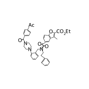 CCOC(=O)c1oc2ccc(S(=O)(=O)N(CCc3ccccc3)Cc3ccccc3N3CCN(C(=O)c4ccc(C(C)=O)cc4)CC3)cc2c1C